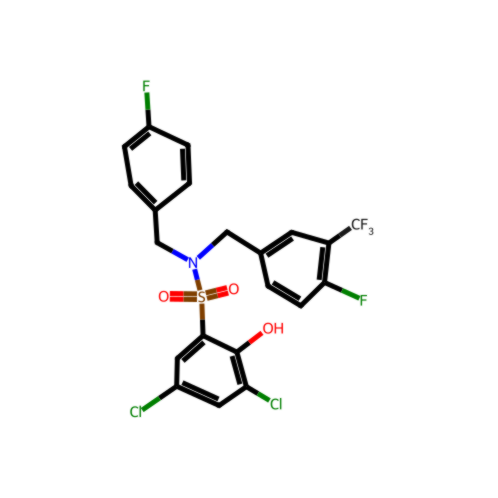 O=S(=O)(c1cc(Cl)cc(Cl)c1O)N(Cc1ccc(F)cc1)Cc1ccc(F)c(C(F)(F)F)c1